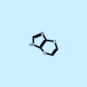 C1=COc2[nH]cnc2O1